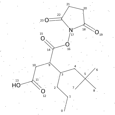 CCCC(CC(C)(C)C)C(CC(=O)O)C(=O)ON1C(=O)CCC1=O